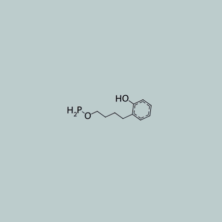 Oc1ccccc1CCCCOP